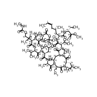 C/C=C\C[C@H](C)[C@H]1ON(C(=O)[C@@H](C(C)C)N(C)C(=O)[C@@H]2CC(C)N(C(=O)[C@@H](C)NC(=O)[C@H](CC(C)C)N(C)C(=O)[C@H](NC(=O)[C@H](N(C)C(=O)[C@@H](C)N(C)C(=O)OC(C)(C)C)C(C)(C)COC(=O)NC)C(C)C)[C@H](C)C(=O)N(C)[C@@H](CC(C)C)C(=O)N2C)[C@@H]1C(=O)N[C@H](CC)C(=O)OC